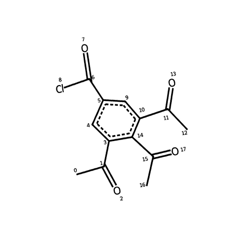 CC(=O)c1cc(C(=O)Cl)cc(C(C)=O)c1C(C)=O